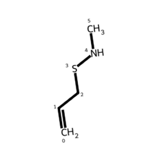 C=CCSNC